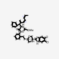 C=C(/C=C\C=C/C)C(c1ccccc1)[C@H](NC(=O)OC)C(=O)Nc1ccccc1CC[C@@H]1CN[C@H](c2nc3cc(Cl)c(Cl)cc3[nH]2)CO1